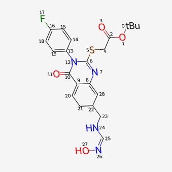 CC(C)(C)OC(=O)CSc1nc2c(c(=O)n1-c1ccc(F)cc1)=CCC(CN/C=N\O)C=2